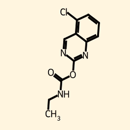 CCNC(=O)Oc1ncc2c(Cl)cccc2n1